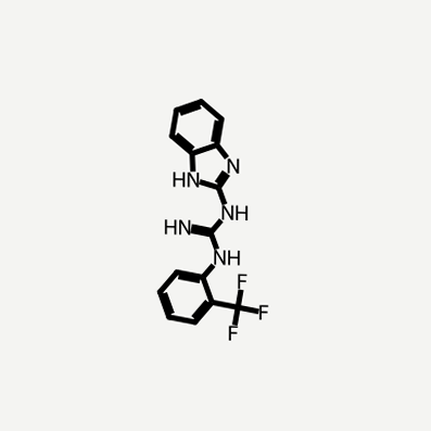 N=C(Nc1nc2ccccc2[nH]1)Nc1ccccc1C(F)(F)F